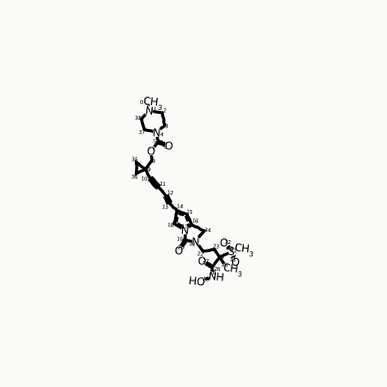 CN1CCN(C(=O)OCC2(C#CC#Cc3cc4n(c3)C(=O)N(CCC(C)(C(=O)NO)S(C)(=O)=O)C4)CC2)CC1